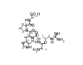 C[C@H](N)C(=O)N[C@@H](CCCNC(=N)N)C(=O)N[C@@H](Cc1c[nH]cn1)C(=O)N1CCC[C@H]1C(=O)NCC(=O)O